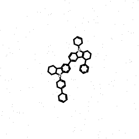 C1=CCC(C2=CC=C(N3c4ccc(C5=CC6C7=C(CCCC7c7ccccc7)N(C7CC=CCC7)C6C=C5)cc4C4CCCCC43)CC2)C=C1